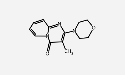 Cc1c(N2CCOCC2)nc2ccccn2c1=O